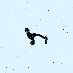 CCCCN(C)C(=O)CCCCCCC#Cc1ccc([C@H]2C[C@]3(C)[C@@H](OC4CCCCO4)CC[C@H]3[C@@H]3CCc4cc(OC5CCCCO5)ccc4[C@H]32)cc1